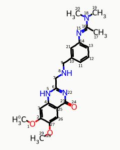 COc1cc2[nH]c(CNCc3cccc(/N=C(\C)N(C)C)c3)nc(=O)c2cc1OC